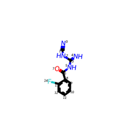 N#CNC(=N)NC(=O)c1ccccc1F